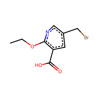 CCOc1ncc(CBr)cc1C(=O)O